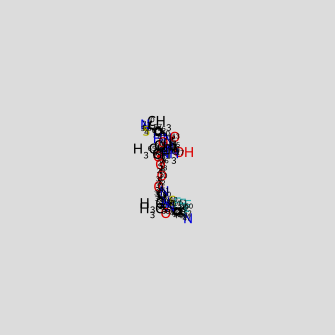 Cc1ncsc1-c1ccc(CNC(=O)[C@@H]2C[C@@H](O)CN2C(=O)[C@@H](NC(=O)COCCOCCOc2ccc(N3C(=S)N(c4ccc(C#N)c(C(F)(F)F)c4F)C(=O)C3(C)C)cn2)C(C)(C)C)cc1